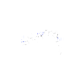 C=CCCCCC(=C)Nc1ccc(Cc2ccc(NC(=C)C(C)(C)CC(C)CC(C)CC3CCC4C(C)CNC34)cc2)cc1